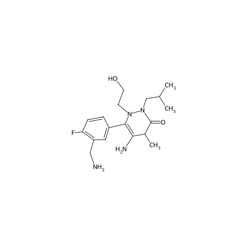 CC(C)CN1C(=O)C(C)C(N)=C(c2ccc(F)c(CN)c2)N1CCO